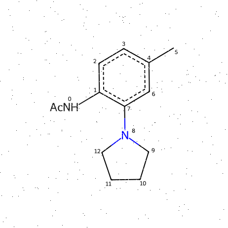 CC(=O)Nc1ccc(C)cc1N1CCCC1